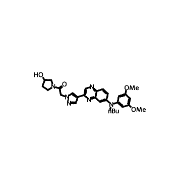 CCCCN(c1cc(OC)cc(OC)c1)c1ccc2ncc(-c3cnn(CC(=O)N4CCC(O)C4)c3)nc2c1